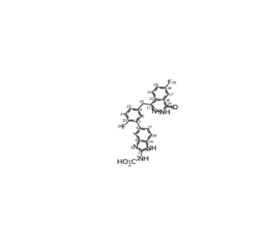 O=C(O)Nc1nc2cc(-c3cc(Cc4n[nH]c(=O)c5cc(F)ccc45)ccc3F)ccc2[nH]1